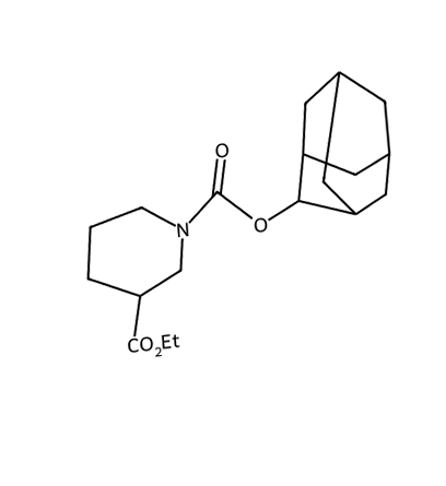 CCOC(=O)C1CCCN(C(=O)OC2C3CC4CC(C3)CC2C4)C1